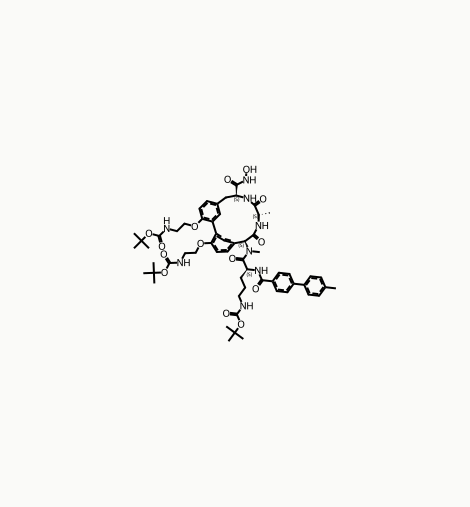 Cc1ccc(-c2ccc(C(=O)N[C@@H](CCCNC(=O)OC(C)(C)C)C(=O)N(C)[C@@H]3C(=O)N[C@@H](C)C(=O)N[C@H](C(=O)NO)Cc4ccc(OCCNC(=O)OC(C)(C)C)c(c4)-c4cc3ccc4OCCNC(=O)OC(C)(C)C)cc2)cc1